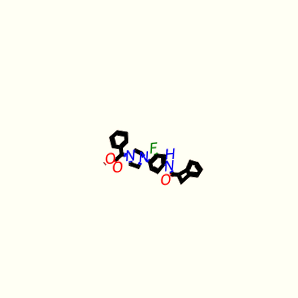 COC(=O)C(c1ccccc1)N1CCN(c2ccc(NC(=O)C3Cc4ccccc43)cc2F)CC1